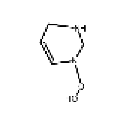 OON1C=CCNC1